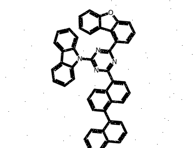 c1ccc2c(-c3cccc4c(-c5nc(-c6cccc7oc8ccccc8c67)nc(-n6c7ccccc7c7ccccc76)n5)cccc34)cccc2c1